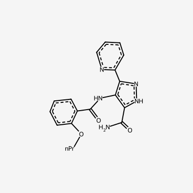 CCCOc1ccccc1C(=O)Nc1c(-c2ccccn2)n[nH]c1C(N)=O